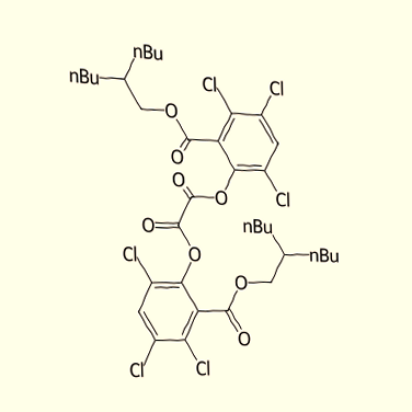 CCCCC(CCCC)COC(=O)c1c(Cl)c(Cl)cc(Cl)c1OC(=O)C(=O)Oc1c(Cl)cc(Cl)c(Cl)c1C(=O)OCC(CCCC)CCCC